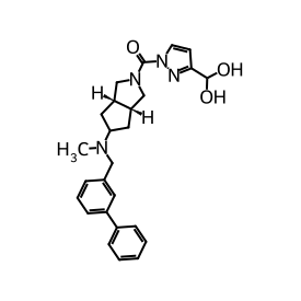 CN(Cc1cccc(-c2ccccc2)c1)C1C[C@@H]2CN(C(=O)n3ccc(C(O)O)n3)C[C@@H]2C1